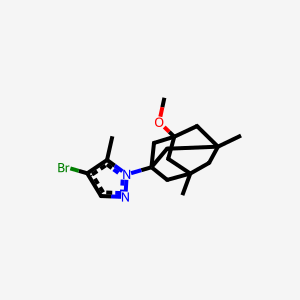 COC12CC3(C)CC(C)(C1)CC(n1ncc(Br)c1C)(C3)C2